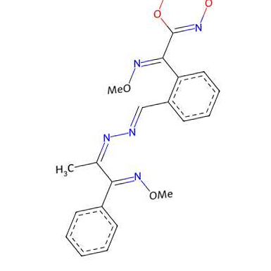 CON=C(C(C)=NN=Cc1ccccc1C(=NOC)C1=NOCCO1)c1ccccc1